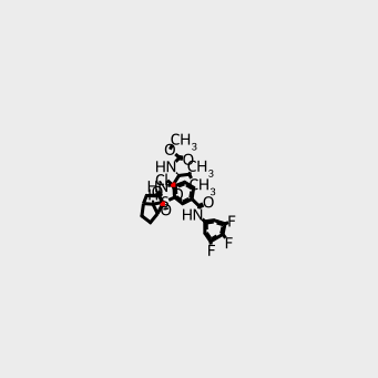 COC(=O)N[C@@H](C(=O)N[C@H]1CC2CCC(C1)[C@@H]2S(=O)(=O)c1cc(C(=O)Nc2cc(F)c(F)c(F)c2)ccc1Cl)C(C)C